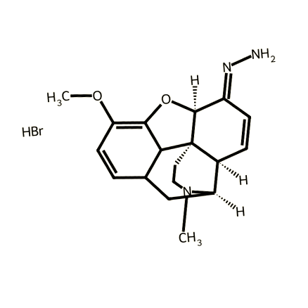 Br.COC1=C2O[C@H]3C(=NN)C=C[C@H]4[C@H]5CC(C=C1)C2[C@@]34CCN5C